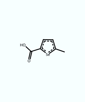 Cc1ccc(C(=O)O)[se]1